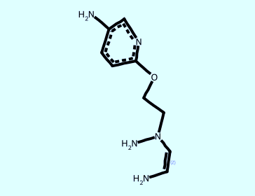 N/C=C\N(N)CCOc1ccc(N)cn1